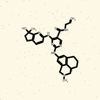 C=CCNC(=O)c1cnc(Nc2cc3c4c(c2)CN(C)CC4(F)CCC3)nc1Nc1ccc2c(n1)C(C)(O)CC2